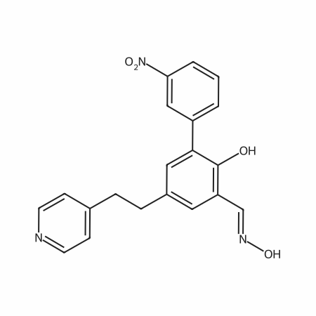 O=[N+]([O-])c1cccc(-c2cc(CCc3ccncc3)cc(C=NO)c2O)c1